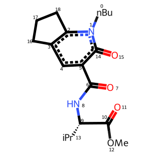 CCCCn1c2c(cc(C(=O)N[C@H](C(=O)OC)C(C)C)c1=O)CCC2